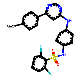 COc1ccc(-c2cc(Nc3ccc(NS(=O)(=O)c4c(F)cccc4F)cc3)ncn2)cc1